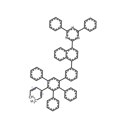 C/C=C\C(=C/C)c1c(-c2ccccc2)cc(-c2cccc(-c3ccc(-c4nc(-c5ccccc5)nc(-c5ccccc5)n4)c4ccccc34)c2)c(-c2ccccc2)c1-c1ccccc1